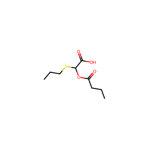 CCCSC(OC(=O)CCC)C(=O)O